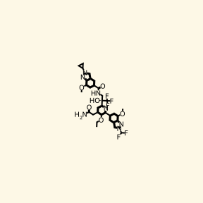 CCOc1c(CC(N)=O)cc([C@@](O)(CNC(=O)c2cc(OC)c3nn(C4CC4)cc3c2)C(F)(F)F)nc1-c1cc(OC)c2nn(C(F)F)cc2c1